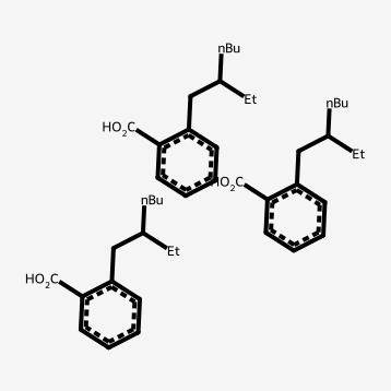 CCCCC(CC)Cc1ccccc1C(=O)O.CCCCC(CC)Cc1ccccc1C(=O)O.CCCCC(CC)Cc1ccccc1C(=O)O